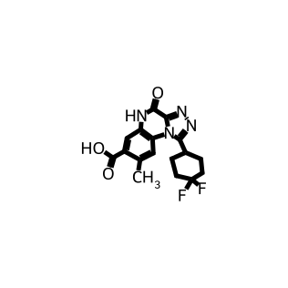 Cc1cc2c(cc1C(=O)O)[nH]c(=O)c1nnc(C3CCC(F)(F)CC3)n12